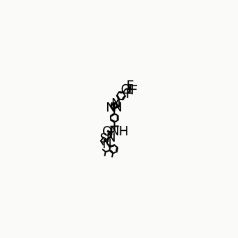 Cc1cccc(N2CCS/C2=N\C(=O)NC(C)(C)c2ccc(-c3ncn(-c4ccc(OC(F)(F)F)cc4)n3)cc2)c1C(C)C